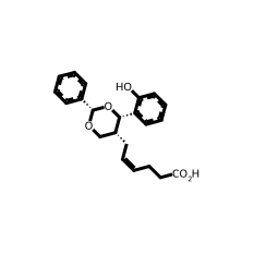 O=C(O)CC/C=C\C[C@@H]1CO[C@H](c2ccccc2)O[C@@H]1c1ccccc1O